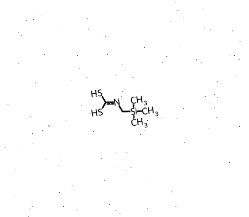 C[Si](C)(C)CN=C(S)S